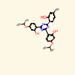 CCCc1ccc(-c2nc(-c3ccc(OC(CCC)CCC)cc3O)nc(-c3ccc(OC(CCC)CCC)cc3O)n2)c(O)c1